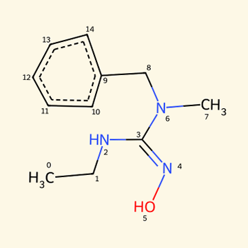 CCN/C(=N\O)N(C)Cc1ccccc1